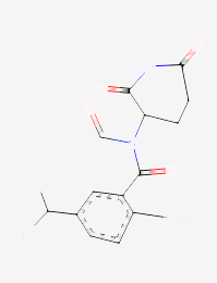 Cc1ccc(C(C)C)cc1C(=O)N(C=O)C1CCC(=O)NC1=O